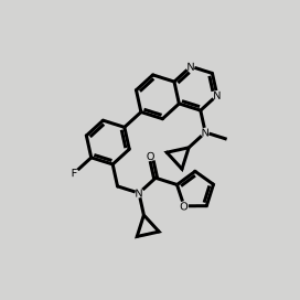 CN(c1ncnc2ccc(-c3ccc(F)c(CN(C(=O)c4ccco4)C4CC4)c3)cc12)C1CC1